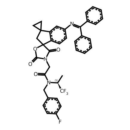 C[C@H](N(Cc1ccc(F)cc1)C(=O)CN1C(=O)OC2(CC3(CC3)c3cc(N=C(c4ccccc4)c4ccccc4)ccc32)C1=O)C(F)(F)F